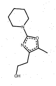 Cc1oc(N2CCCCC2)nc1CCO